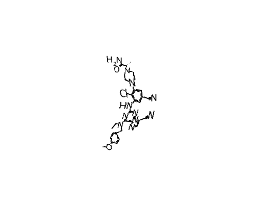 CCN(Cc1ccc(OC)cc1)c1nc(Nc2cc(C#N)cc(N3CCN([C@@H](C)C(N)=O)CC3)c2Cl)nn2c(C#N)cnc12